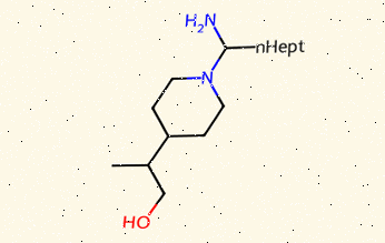 CCCCCCCC(N)N1CCC(C(C)CO)CC1